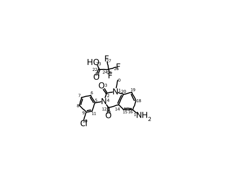 Cn1c(=O)n(-c2cccc(Cl)c2)c(=O)c2cc(N)ccc21.O=C(O)C(F)(F)F